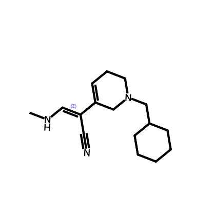 CN/C=C(\C#N)C1=CCCN(CC2CCCCC2)C1